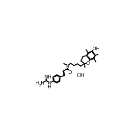 Cc1c(C)c2c(c(C)c1O)CCC(C)(CCCCN(C)C(=O)C=Cc1ccc(NC(=N)N)cc1)O2.Cl